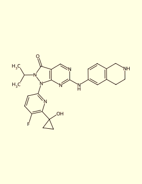 CC(C)n1c(=O)c2cnc(Nc3ccc4c(c3)CCNC4)nc2n1-c1ccc(F)c(C2(O)CC2)n1